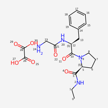 CCNC(=O)[C@@H]1CCCN1C(=O)[C@H](Cc1ccccc1)NC(=O)CN.O=C(O)C(=O)O